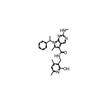 CNc1ncc2c(C(=O)NCc3c(C)cc(C)nc3O)c(C)n(C(C)c3ccccc3)c2n1